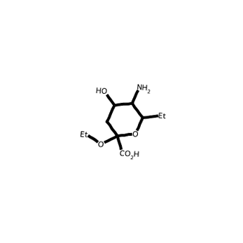 CCOC1(C(=O)O)CC(O)C(N)C(CC)O1